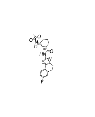 CS(=O)(=O)N[C@@H]1CCC[C@H](C(=O)Nc2nc3c(s2)-c2ccc(F)cc2CC3)C1